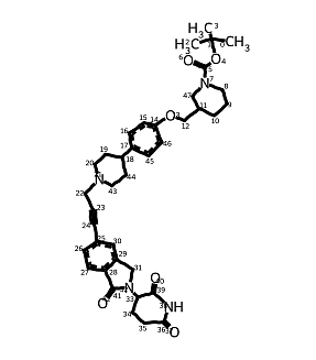 CC(C)(C)OC(=O)N1CCCC(COc2ccc(C3CCN(CC#Cc4ccc5c(c4)CN(C4CCC(=O)NC4=O)C5=O)CC3)cc2)C1